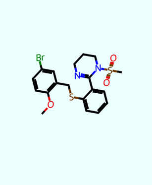 COc1ccc(Br)cc1CSc1ccccc1C1=NCCCN1S(C)(=O)=O